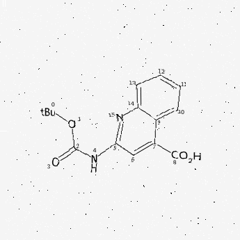 CC(C)(C)OC(=O)Nc1cc(C(=O)O)c2ccccc2n1